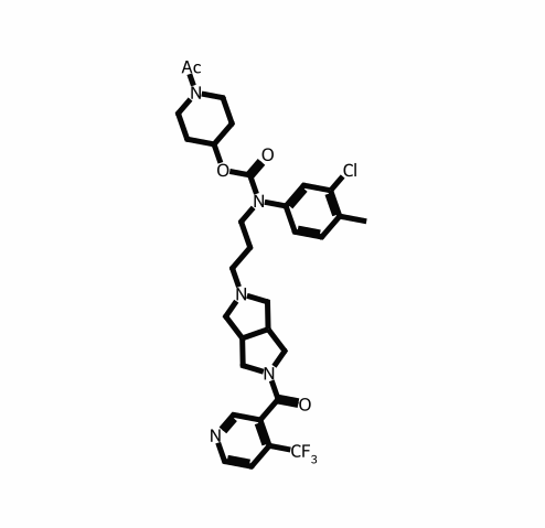 CC(=O)N1CCC(OC(=O)N(CCCN2CC3CN(C(=O)c4cnccc4C(F)(F)F)CC3C2)c2ccc(C)c(Cl)c2)CC1